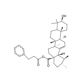 C[C@H]1[C@H](C)CC[C@]2(C(=O)OC(=O)CCc3ccccc3)CC[C@]3(C)C(=CC[C@@H]4[C@@]5(C)CC[C@H](O)C(C)(C)C5CC[C@]43C)[C@H]12